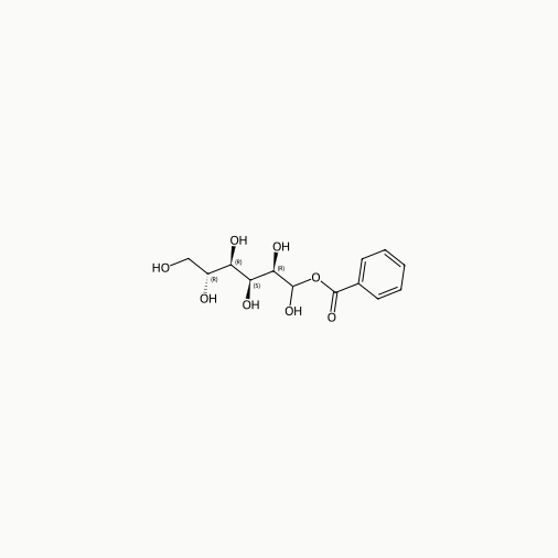 O=C(OC(O)[C@H](O)[C@@H](O)[C@H](O)[C@H](O)CO)c1ccccc1